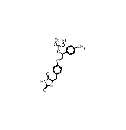 CCOP(OCC)OC(COc1ccc(CC2SC(=O)NC2=O)cc1)c1ccc(C)cc1